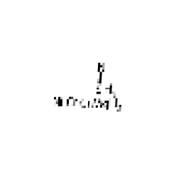 [Cr].[Cr].[MgH2].[Ni].[SiH3][Ni]